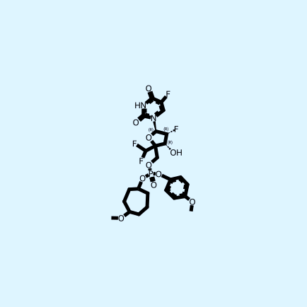 COc1ccc(OP(=O)(OCC2(C(F)F)O[C@@H](n3cc(F)c(=O)[nH]c3=O)[C@H](F)[C@@H]2O)OC2CCCC(OC)CC2)cc1